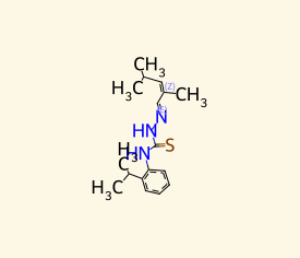 CC(=C/C(C)C)/C=N/NC(=S)Nc1ccccc1C(C)C